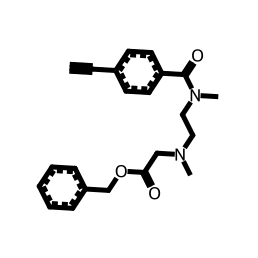 C#Cc1ccc(C(=O)N(C)CCN(C)CC(=O)OCc2ccccc2)cc1